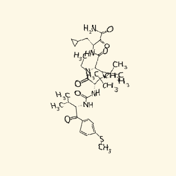 CCN(C(=O)[C@@H](NC(=O)N[C@H](C(=O)c1ccc(SC)cc1)C(C)C)C(C)(C)C)[C@H](C(=O)NC(CC1CC1)C(=O)C(N)=O)[C@@H]1CC1(C)C